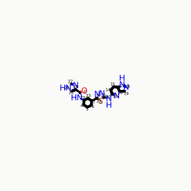 O=C(Nc1cccc(-c2nnc(Nc3ccc4[nH]ncc4n3)s2)c1)c1c[nH]cn1